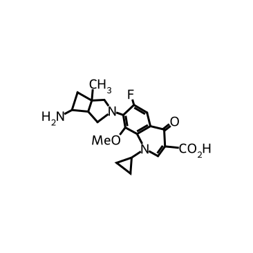 COc1c(N2CC3C(N)CC3(C)C2)c(F)cc2c(=O)c(C(=O)O)cn(C3CC3)c12